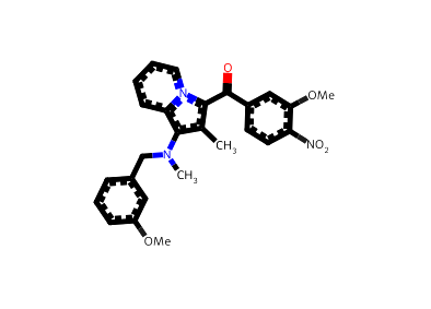 COc1cccc(CN(C)c2c(C)c(C(=O)c3ccc([N+](=O)[O-])c(OC)c3)n3ccccc23)c1